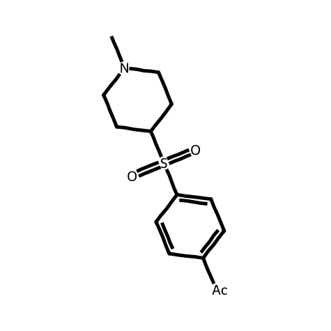 CC(=O)c1ccc(S(=O)(=O)C2CCN(C)CC2)cc1